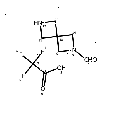 O=C(O)C(F)(F)F.O=CN1CC2(CNC2)C1